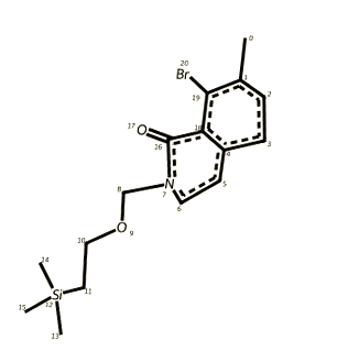 Cc1ccc2ccn(COCC[Si](C)(C)C)c(=O)c2c1Br